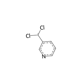 Cl[C](Cl)c1cccnc1